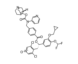 O=C(O[C@@H](Cc1c(Cl)c[n+]([O-])cc1Cl)c1ccc(OC(F)F)c(OCC2CC2)c1)c1ccc(CN(C(=O)O[C@H]2CN3CCC2CC3)c2cccnc2)cc1